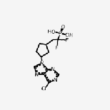 O=P(O)(O)C(F)(F)CC1CCC(n2cnc3c(Cl)ncnc32)C1